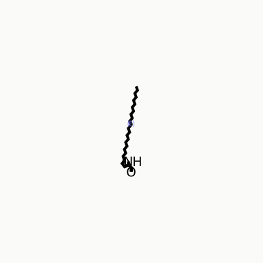 CCCCCCCCCC/C=C/CCCCCCCCCc1ccc(C=O)[nH]1